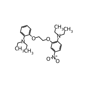 CCN(CC)c1ccccc1OCCOc1cc([N+](=O)[O-])ccc1N(CC)CC